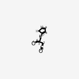 O=C=C[C](=C=O)[Ir][C]1=CC=CC1